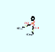 CCCCCCCCCCCCSCC(O)COP(OCC(O)CSCCCCCCCCCCCC)Oc1ccccc1